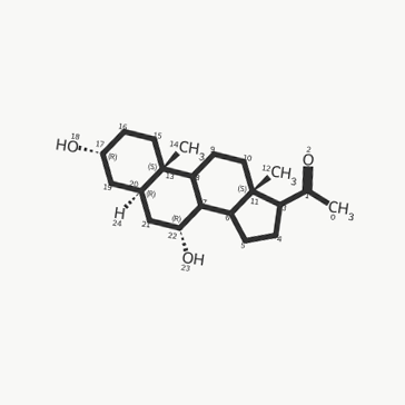 CC(=O)C1CCC2C3C(CC[C@]12C)[C@@]1(C)CC[C@@H](O)C[C@@H]1C[C@H]3O